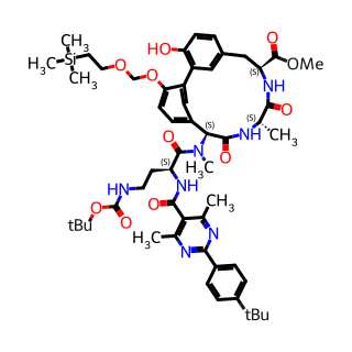 COC(=O)[C@@H]1Cc2ccc(O)c(c2)-c2cc(ccc2OCOCC[Si](C)(C)C)[C@H](N(C)C(=O)[C@H](CCNC(=O)OC(C)(C)C)NC(=O)c2c(C)nc(-c3ccc(C(C)(C)C)cc3)nc2C)C(=O)N[C@@H](C)C(=O)N1